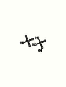 O=S(=O)(O)S.[KH].[O]=[Mn](=[O])(=[O])[OH]